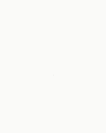 C#CC(C)O[SiH](OCC)OCC